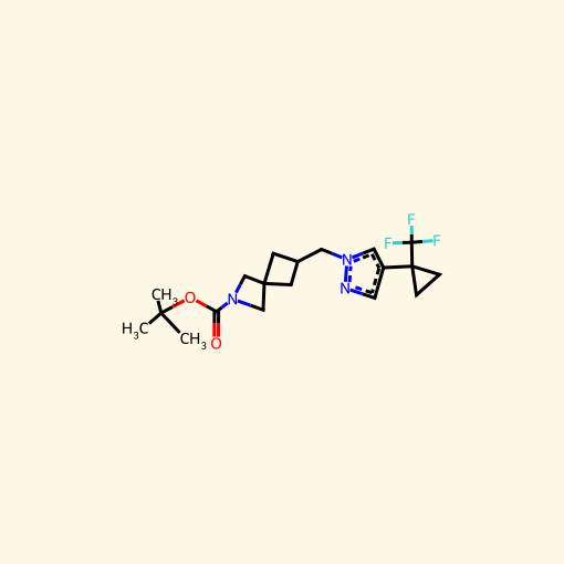 CC(C)(C)OC(=O)N1CC2(CC(Cn3cc(C4(C(F)(F)F)CC4)cn3)C2)C1